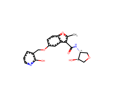 Cc1oc2ccc(OCc3cccnc3O)cc2c1C(=O)N[C@@H]1COC[C@H]1O